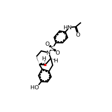 CC(=O)Nc1ccc(S(=O)(=O)N2CC[C@@]34CCCC[C@@H]3[C@@H]2Cc2ccc(O)cc24)cc1